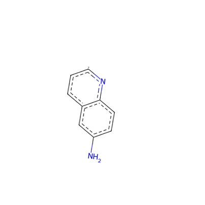 Nc1ccc2n[c]ccc2c1